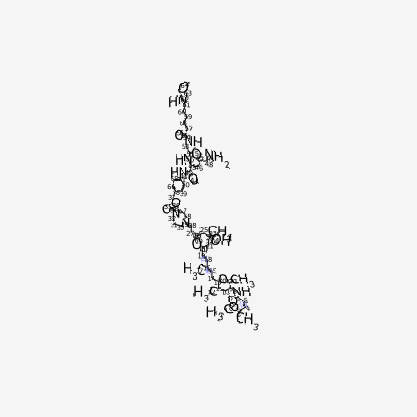 COC(C)/C=C\C(=O)NC1CC(C)C(C/C=C(C)/C=C/[C@@H]2CC(C)(O)C[C@@H](CCN3CCCN(C(=O)OCc4ccc(NC(=O)C(CCCN)NC(=O)CNC(=O)CCCCCNC=O)cc4)CC3)O2)OC1C